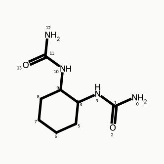 NC(=O)N[C]1CCCCC1NC(N)=O